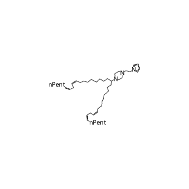 CCCCC/C=C\C/C=C\CCCCCCCCC(CCCCCCCC/C=C\C/C=C\CCCCC)N1CCN(CCn2cccc2)CC1